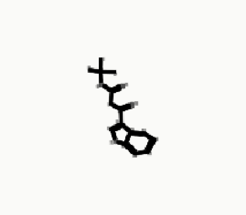 CC(C)(C)OC(=O)CC(=O)c1csc2ccccc12